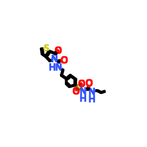 CCCNC(=O)NS(=O)(=O)c1ccc(CCNC(=O)N2Cc3ccsc3C2=O)cc1